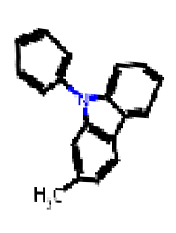 Cc1[c]cc2c3ccccc3n(-c3ccccc3)c2c1